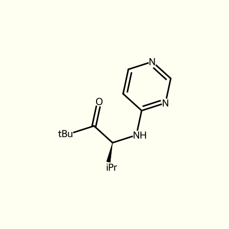 CC(C)[C@H](Nc1ccncn1)C(=O)C(C)(C)C